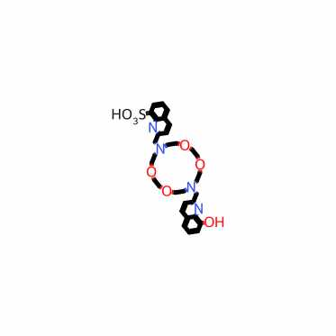 O=S(=O)(O)c1cccc2ccc(CN3CCOCCOCCN(Cc4ccc5cccc(O)c5n4)CCOCCOCC3)nc12